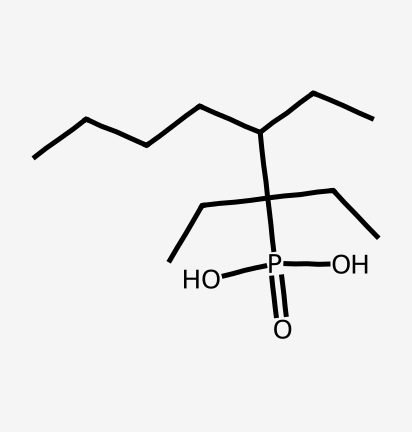 CCCCC(CC)C(CC)(CC)P(=O)(O)O